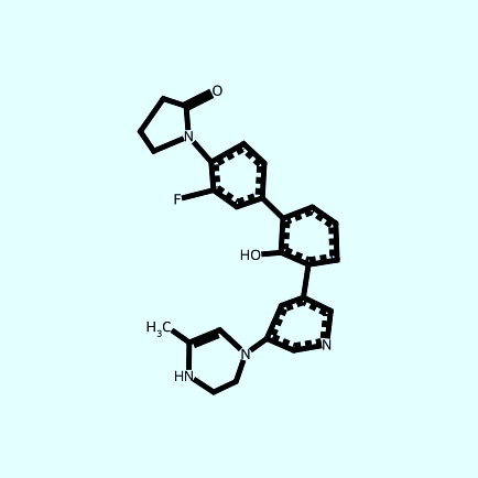 CC1=CN(c2cncc(-c3cccc(-c4ccc(N5CCCC5=O)c(F)c4)c3O)c2)CCN1